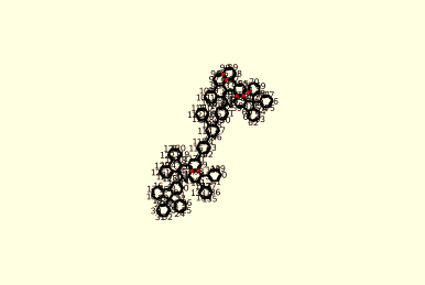 c1ccc(-c2ccc(N(c3ccc4c(c3)-c3ccccc3C4(c3ccccc3)c3ccccc3)c3c(-c4cccc(-c5ccc(-c6ccc(-c7ccc(N(c8ccc9c(c8)-c8ccccc8C9(c8ccccc8)c8ccccc8)c8c(-c9ccccc9-c9ccccc9)c9ccccc9c9ccccc89)cc7)c(-c7ccccc7)c6)cc5)c4)c4ccccc4c4ccccc34)cc2-c2ccccc2)cc1